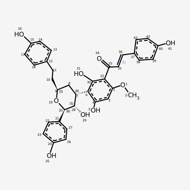 COc1cc(O)c([C@H]2C[C@H](CCc3ccc(O)cc3)O[C@H](c3ccc(O)cc3)[C@H]2O)c(O)c1C(=O)/C=C/c1ccc(O)cc1